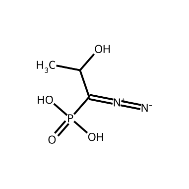 CC(O)C(=[N+]=[N-])P(=O)(O)O